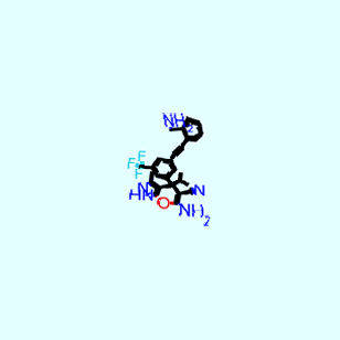 Cc1n[nH]c2c1C(c1cc(C#Cc3ccccc3CN)cc(C(F)(F)F)c1)(C(C)C)C(C#N)=C(N)O2